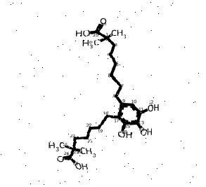 CC(C)(CCCCCCc1cc(O)c(O)c(O)c1CCCCCC(C)(C)C(=O)O)C(=O)O